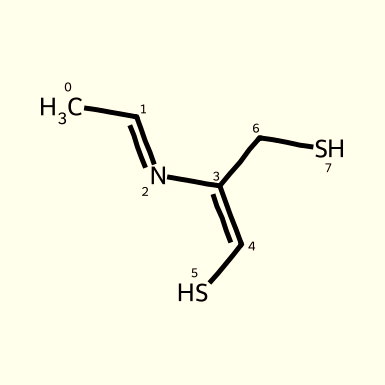 C/C=N/C(=C\S)CS